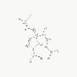 CC(C)COC(C)C(C=O)(OCC(C)C)OCC(C)C